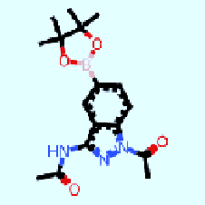 CC(=O)Nc1nn(C(C)=O)c2ccc(B3OC(C)(C)C(C)(C)O3)cc12